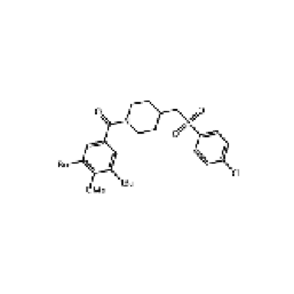 COc1c(C(C)(C)C)cc(C(=O)N2CCC(CS(=O)(=O)c3ccc(Cl)cc3)CC2)cc1C(C)(C)C